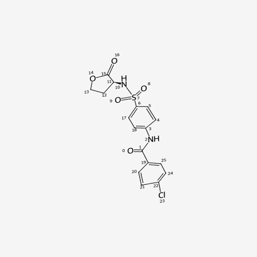 O=C(Nc1ccc(S(=O)(=O)N[C@H]2CCOC2=O)cc1)c1ccc(Cl)cc1